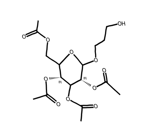 CC(=O)OCC1OC(OCCCO)[C@H](OC(C)=O)C(OC(C)=O)[C@@H]1OC(C)=O